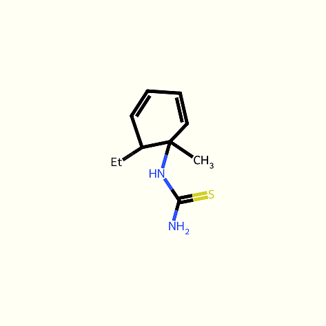 CCC1C=CC=CC1(C)NC(N)=S